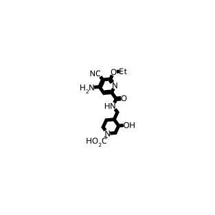 CCOc1nc(C(=O)NCC2CCN(C(=O)O)CC2O)cc(N)c1C#N